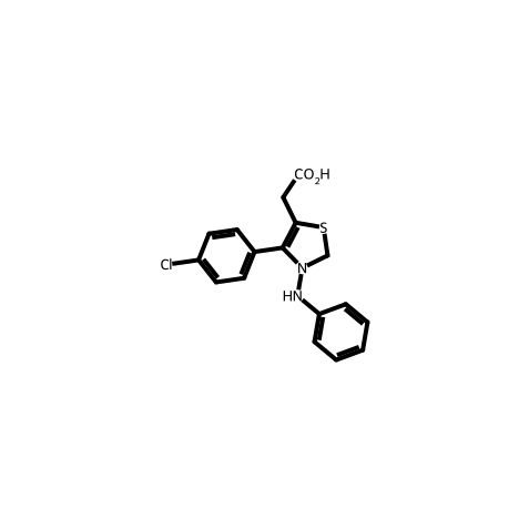 O=C(O)CC1=C(c2ccc(Cl)cc2)N(Nc2ccccc2)CS1